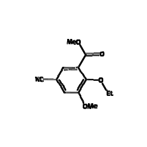 CCOc1c(OC)cc(C#N)cc1C(=O)OC